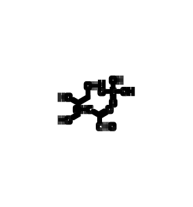 O=CC(=O)C=O.O=P(O)(O)O.OCC(O)CO